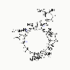 C=CC[C@@H]1/C=C(\C)C[C@H](C)C[C@H](OC)[C@H]2O[C@@](O)(C(=O)C(=O)N3CCCC[C@H]3C(=O)O[C@H](/C(C)=C/[C@@H]3CC[C@@H](O)[C@H](OC)C3)[C@H](C)[C@@H](O)C/C1=N/NC(C)=O)[C@H](C)C[C@@H]2OC